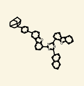 c1ccc2cc(-c3nc(-c4cccc5c4oc4ccccc45)nc(-c4cccc5c4oc4ccc(-c6ccc(C78CC9CC(CC(C9)C7)C8)cc6)cc45)n3)ccc2c1